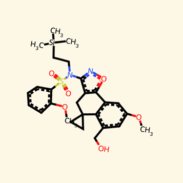 COc1cc(CO)c2c(c1)-c1onc(N(CC[Si](C)(C)C)S(=O)(=O)c3ccccc3OC)c1CC21CC1